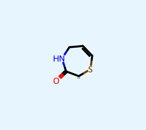 O=C1[C]SC=CCN1